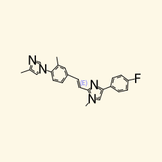 Cc1cn(-c2ccc(/C=C/c3nc(-c4ccc(F)cc4)cn3C)cc2C)cn1